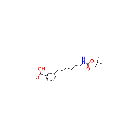 CC(C)(C)OC(=O)NCCCCCCc1cccc(C(=O)O)c1